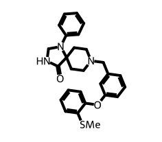 CSc1ccccc1Oc1cccc(CN2CCC3(CC2)C(=O)NCN3c2ccccc2)c1